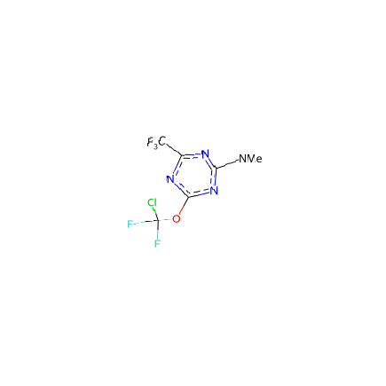 CNc1nc(OC(F)(F)Cl)nc(C(F)(F)F)n1